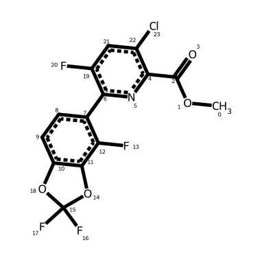 COC(=O)c1nc(-c2ccc3c(c2F)OC(F)(F)O3)c(F)cc1Cl